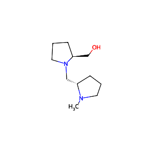 CN1CCC[C@H]1CN1CCC[C@H]1CO